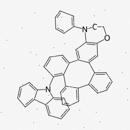 c1ccc(N2CCOc3cc4c(cc32)-c2cccc(-n3c5ccccc5c5ccccc53)c2-c2ccccc2-c2ccccc2-4)cc1